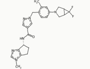 Cc1cc(N2CC3C(C2)C3(F)F)ccc1Cn1cc(C(=O)N[C@@H]2CCc3c2ncn3C)cn1